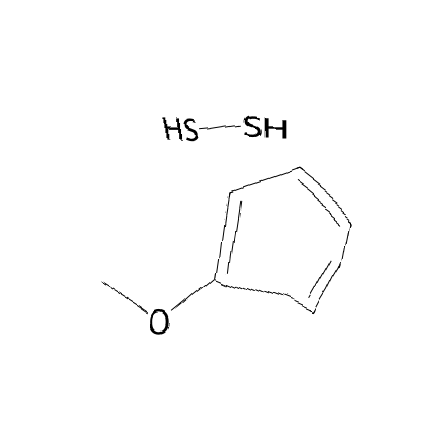 COc1ccccc1.SS